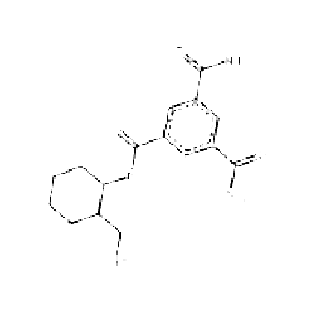 CC(C)CC1CCCCC1NC(=O)c1cc(C(N)=O)cc(C(N)=O)c1